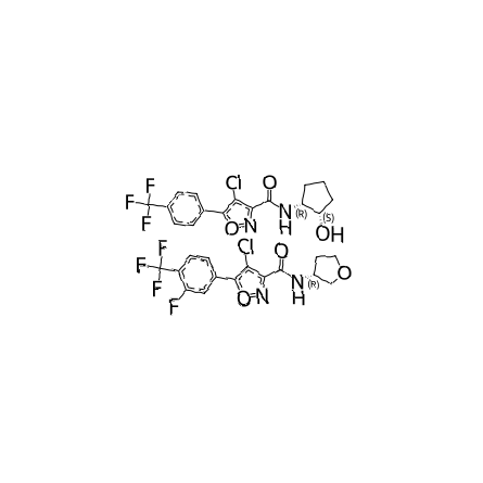 O=C(N[C@@H]1CCC[C@@H]1O)c1noc(-c2ccc(C(F)(F)F)cc2)c1Cl.O=C(N[C@@H]1CCOC1)c1noc(-c2ccc(C(F)(F)F)c(F)c2)c1Cl